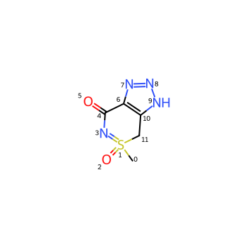 CS1(=O)=NC(=O)c2nn[nH]c2C1